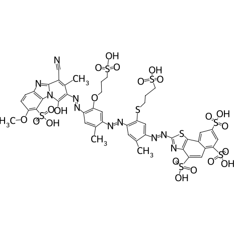 COc1ccc2nc3c(C#N)c(C)c(N=Nc4cc(C)c(N=Nc5cc(C)c(N=Nc6nc7c(S(=O)(=O)O)cc8c(S(=O)(=O)O)cc(S(=O)(=O)O)cc8c7s6)cc5SCCCS(=O)(=O)O)cc4OCCCS(=O)(=O)O)c(O)n3c2c1S(=O)(=O)O